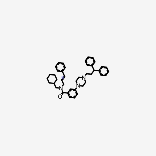 O=C(c1cccc(N2CCN(CCC(c3ccccc3)c3ccccc3)CC2)c1)N(C/C=C/c1ccccc1)CC1CCCCC1